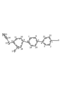 Cc1ccc(-c2ccc(-c3ccc(SC#N)c(F)c3)cc2)cc1